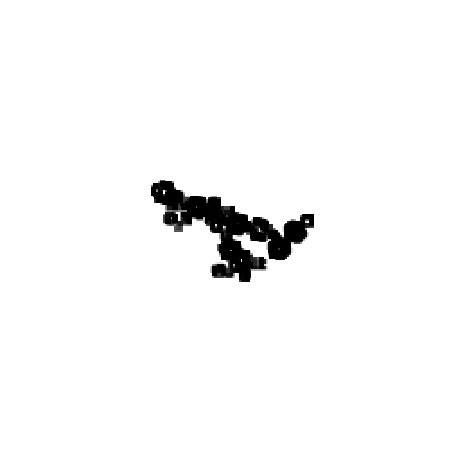 CCN(Cc1cccc(Oc2cc(N3CCN(Cc4ccccc4-c4ccc(Cl)cc4)CC3)ccc2C(=O)NS(=O)(=O)c2ccc(NCC3CCOCC3)c([N+](=O)[O-])c2)c1)C(=O)OC(C)(C)C